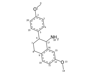 COc1ccc(C2CCc3ccc(OC)cc3C2N)cc1